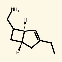 CCC1=C[C@@H]2[C](CN)C[C@H]2C1